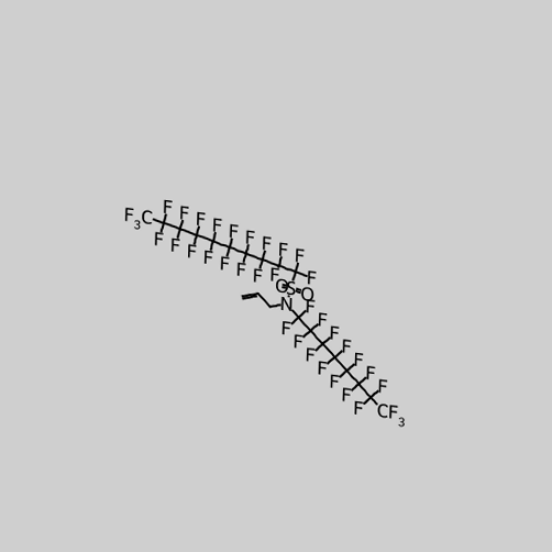 C=CCN(C(F)(F)C(F)(F)C(F)(F)C(F)(F)C(F)(F)C(F)(F)C(F)(F)C(F)(F)F)S(=O)(=O)C(F)(F)C(F)(F)C(F)(F)C(F)(F)C(F)(F)C(F)(F)C(F)(F)C(F)(F)C(F)(F)C(F)(F)F